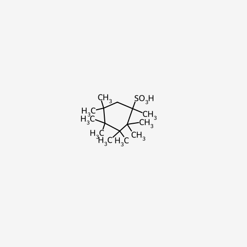 CC1(C)CC(C)(S(=O)(=O)O)C(C)(C)C(C)(C)C1(C)C